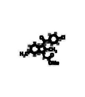 COC(=O)Cc1c(C)n(C(=O)c2ccc(Cl)cc2)c2ccc(C)cc12